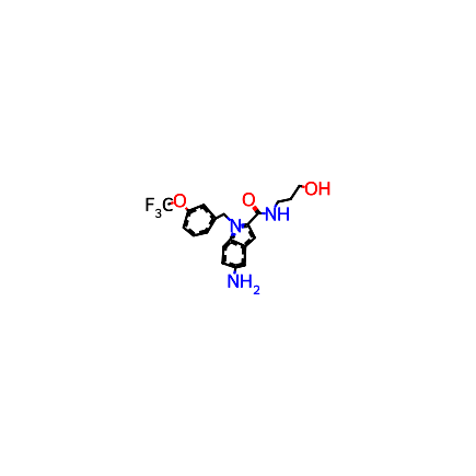 Nc1ccc2c(c1)cc(C(=O)NCCCO)n2Cc1cccc(OC(F)(F)F)c1